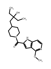 CCC(O)(CC)CC1CCN(C(=O)c2cc3c(OC)nccc3[nH]2)CC1